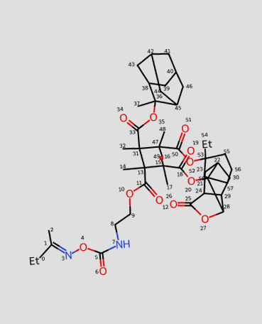 CC/C(C)=N/OC(=O)NCCOC(=O)C(C)(C(C)(C)C(=O)OC1C2CC3C(=O)OC1C3C2)C(C)(C(=O)OC1(C)C2CC3CC(C2)CC1C3)C(C)(C)C(=O)OC1(CC)CCCC1